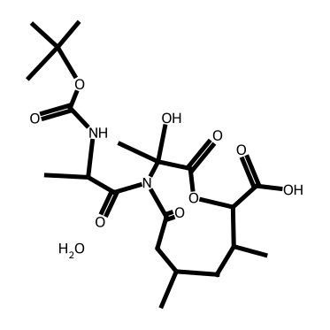 CC(C)CC(=O)N(C(=O)C(C)NC(=O)OC(C)(C)C)C(C)(O)C(=O)OC(C(=O)O)C(C)C.O